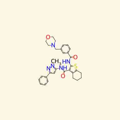 Cn1nc(-c2ccccc2)cc1NC(=O)c1c(NC(=O)c2cccc(CN3CCOCC3)c2)sc2c1CCCC2